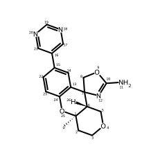 C[C@@]12CCOC[C@H]1C1(COC(N)=N1)c1cc(-c3cncnc3)ccc1O2